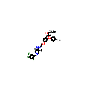 COC(=O)C(C)(Cc1ccc(OCCN[C@H]2[C@@H]3CN(Cc4cc(F)c(F)cc4F)C[C@@H]32)cc1)Oc1ccc(C(C)(C)C)cc1